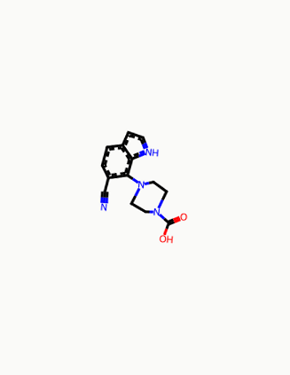 N#Cc1ccc2cc[nH]c2c1N1CCN(C(=O)O)CC1